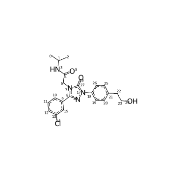 CC(C)NC(=O)Cn1c(-c2cccc(Cl)c2)nn(-c2ccc(CCO)cc2)c1=O